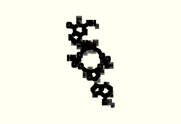 Nc1nc2c(nnn2[C@@H]2S[C@@H]3COP(=O)(S)O[C@H]4C[C@H](c5cnc6c(N)ncnn56)O[C@@H]4COP(=O)(S)O[C@@H]2[C@@H]3O)c(=O)[nH]1